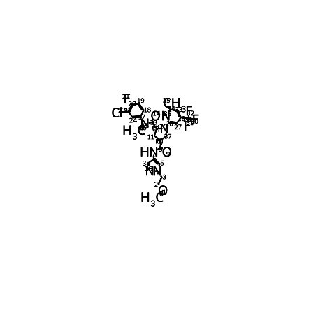 COCCn1cc(NC(=O)[C@H]2C[C@@H](C(=O)N(C)c3ccc(F)c(Cl)c3)N(c3cc(C(F)(F)F)cc(C)n3)C2)cn1